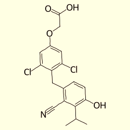 CC(C)c1c(O)ccc(Cc2c(Cl)cc(OCC(=O)O)cc2Cl)c1C#N